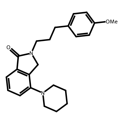 COc1ccc(CCCN2Cc3c(cccc3N3CCCCC3)C2=O)cc1